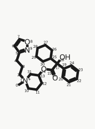 C[N+]1(CCCc2ccon2)CCCC(OC(=O)C(O)(c2ccccc2)C2CCCCC2)C1